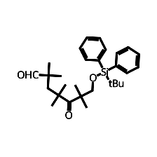 CC(C)(C=O)CC(C)(C)C(=O)C(C)(C)CO[Si](c1ccccc1)(c1ccccc1)C(C)(C)C